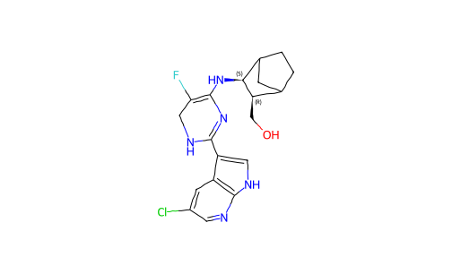 OC[C@@H]1C2CCC(C2)[C@@H]1NC1=C(F)CNC(c2c[nH]c3ncc(Cl)cc23)=N1